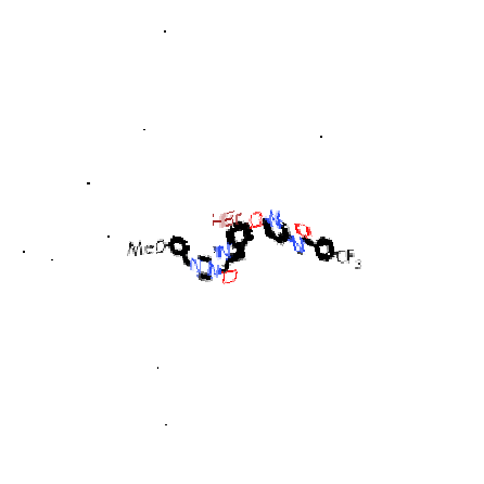 Br.COc1cccc(CN2CCN(C(=O)c3cc4cc(Oc5ccc(N(C)C(=O)c6ccc(C(F)(F)F)cc6)cn5)ccc4n3C)CC2)c1